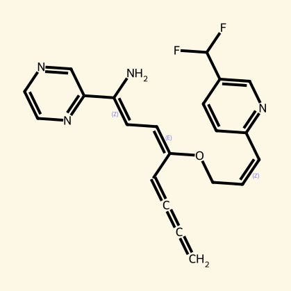 C=C=C=C/C(=C\C=C(/N)c1cnccn1)OC/C=C\c1ccc(C(F)F)cn1